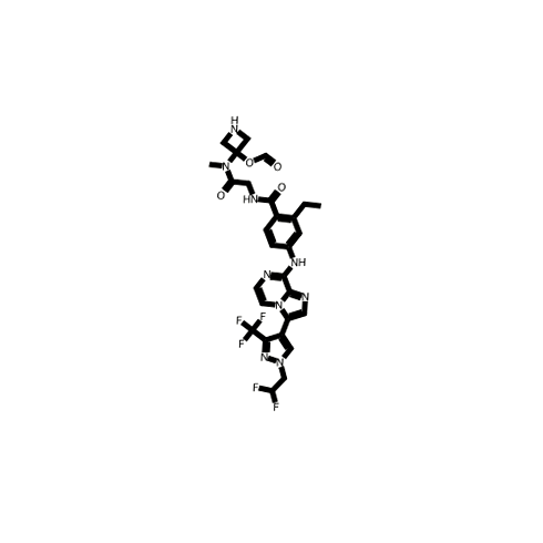 CCc1cc(Nc2nccn3c(-c4cn(CC(F)F)nc4C(F)(F)F)cnc23)ccc1C(=O)NCC(=O)N(C)C1(OC=O)CNC1